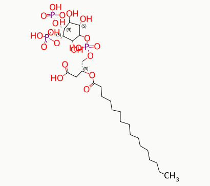 CCCCCCCCCCCCCCCC(=O)O[C@@H](COP(=O)(O)OC1C(O)[C@H](OP(=O)(O)O)[C@H](OP(=O)(O)O)C(O)[C@@H]1O)CC(=O)O